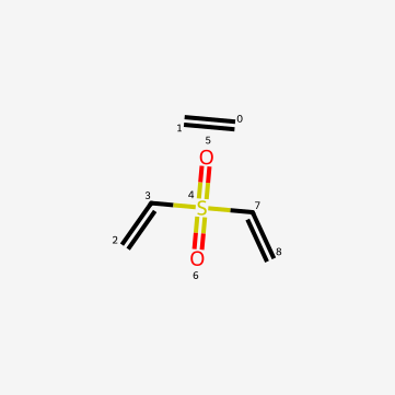 C=C.C=CS(=O)(=O)C=C